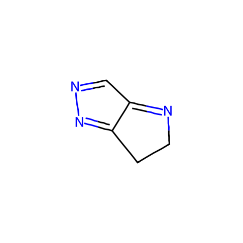 C1=NN=C2CCN=C12